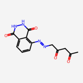 CC(=O)CC(=O)CN=Nc1cccc2c(=O)[nH][nH]c(=O)c12